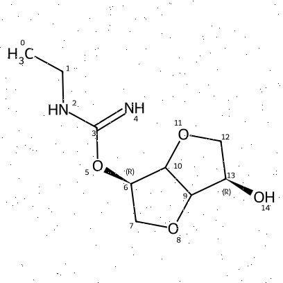 CCNC(=N)O[C@@H]1COC2C1OC[C@H]2O